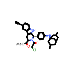 C#Cc1ccc2[nH]c3c(c2c1)CC(C(=O)OC)N(C(=O)CCl)[C@H]3c1ccc(NC23CC(C)CC(CC(C)C2)C3)cc1